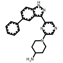 NC1CCN(c2cncc(-c3n[nH]c4ccc(-c5ccccc5)cc34)n2)CC1